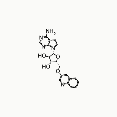 Nc1ncnc2c1ccn2[C@@H]1O[C@H](COc2cnc3ccccc3c2)[C@@H](O)[C@H]1O